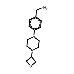 NCc1ccc(N2CCN(C3COC3)CC2)cc1